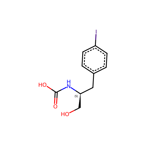 O=C(O)N[C@H](CO)Cc1ccc(I)cc1